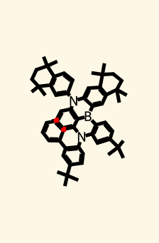 Cc1cc2c3c(c1)N(c1ccc(C(C)(C)C)cc1-c1ccccc1)c1cc(C(C)(C)C)ccc1B3c1cc3c(cc1N2c1ccc2c(c1)C(C)(C)CCC2(C)C)C(C)(C)CCC3(C)C